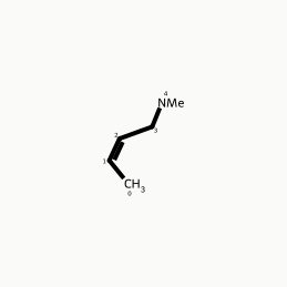 C/C=C\CNC